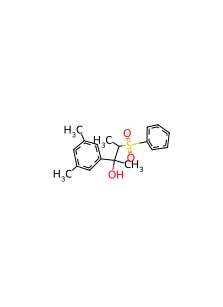 Cc1cc(C)cc(C(C)(O)C(C)S(=O)(=O)c2ccccc2)c1